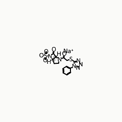 O=C(CSc1nnnn1-c1ccccc1)N1CC[C@@H]2[C@H]1C(=O)N2S(=O)(=O)[O-].[Na+]